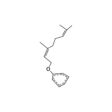 CC(C)=CCCC(C)=CCOc1ccccc1